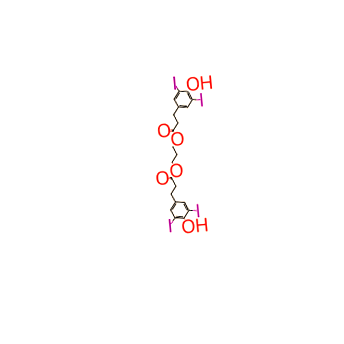 O=C(CCc1cc(I)c(O)c(I)c1)OCCCOC(=O)CCc1cc(I)c(O)c(I)c1